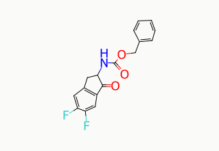 O=C(NC1Cc2cc(F)c(F)cc2C1=O)OCc1ccccc1